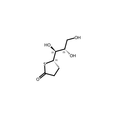 O=C1CC[C@@H]([C@@H](O)[C@@H](O)CO)S1